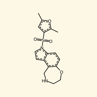 Cc1cc(S(=O)(=O)n2ccc3c4c(ccc32)OCCNC4)c(C)o1